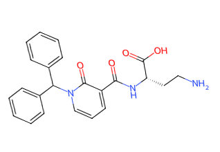 NCC[C@H](NC(=O)c1cccn(C(c2ccccc2)c2ccccc2)c1=O)C(=O)O